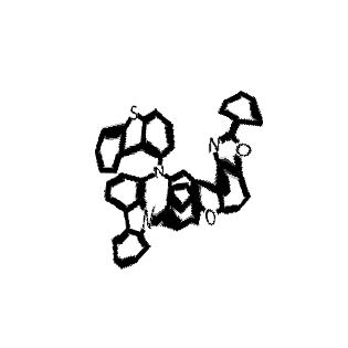 c1ccc(-c2nc3c(ccc4oc5ccc(N(c6cccc7sc8ccccc8c67)c6cccc7c8ccccc8n(-c8ccccc8)c67)cc5c43)o2)cc1